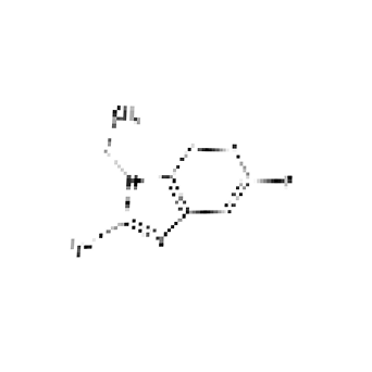 CCn1c(C)nc2cc(F)ccc21